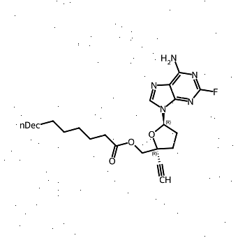 C#C[C@@]1(COC(=O)CCCCCCCCCCCCCCC)CC[C@H](n2cnc3c(N)nc(F)nc32)O1